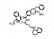 CC(C)(C)OC(=O)N(Cc1ccccn1)Cc1ccc(C(=O)N[C@@H](CCCNC2CCCc3cccnc32)C(=O)O)cn1.NCc1cccc2ccccc12